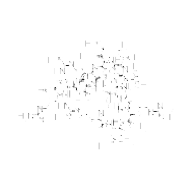 CC[C@H](C)[C@H](NC(=O)[C@H](CCCN=C(N)N)NC(=O)[C@H](C)NC(=O)[C@H](CC(C)C)NC(=O)[C@@H](N)CCCN=C(N)N)C(=O)N[C@H](C(=O)N[C@H](C(=O)N[C@H](C(=O)N[C@@H](CCCN=C(N)N)C(=O)N[C@H](C(=O)N[C@@H](C)C(=O)N[C@@H](CCCN=C(N)N)C(=O)O)C(C)C)[C@@H](C)CC)C(C)C)C(C)C